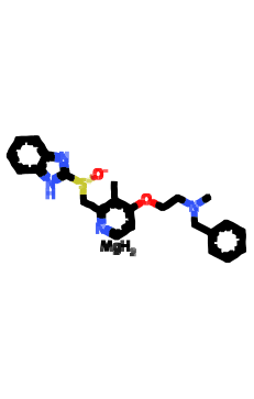 Cc1c(OCCN(C)Cc2ccccc2)ccnc1C[S+]([O-])c1nc2ccccc2[nH]1.[MgH2]